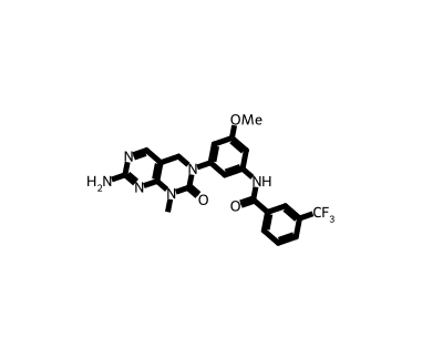 COc1cc(NC(=O)c2cccc(C(F)(F)F)c2)cc(N2Cc3cnc(N)nc3N(C)C2=O)c1